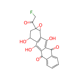 O=C1c2ccccc2C(=O)c2c(O)c3c(c(O)c21)C(O)CC1(C(=O)CF)OC31